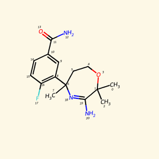 CC1(C)OCCC(C)(c2cc(C(N)=O)ccc2F)N=C1N